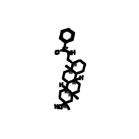 C[C@@]1(O)CC[C@@H]2C3CC[C@@]4(C)C(CCC[C@@H]4CN[S+]([O-])c4ccccc4)[C@@H]3CC[C@]2(C)C1